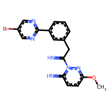 COc1ccc(=N)n(C(=N)Cc2cccc(-c3ncc(Br)cn3)c2)n1